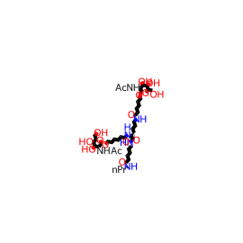 CCCNC(=O)CCCCCNC(=O)[C@H](CCCCNC(=O)CCCCCOC1OC(CO)C(O)C(O)C1NC(C)=O)NC(=O)CCCCCOC1OC(CO)C(O)C(O)C1NC(C)=O